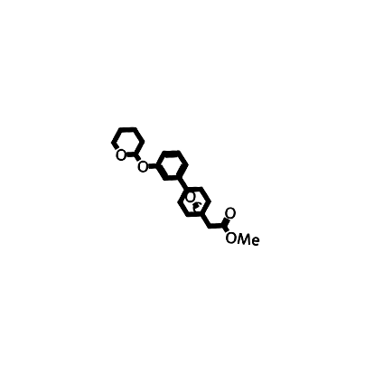 COC(=O)CC12CCC(c3cccc(OC4CCCCO4)c3)(CC1)OC2